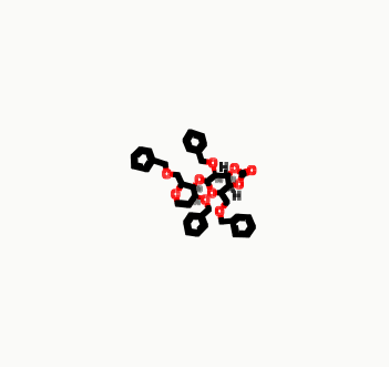 O=C1O[C@@H]2[C@H](OCc3ccccc3)C(O[C@@H]3C(COCc4ccccc4)OC=C[C@@H]3OCc3ccccc3)OC(COCc3ccccc3)[C@@H]2O1